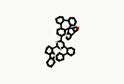 c1ccc(-c2ccccc2-c2cc(-c3ccc4c(c3)C3(c5ccccc5-c5ccccc5-4)c4ccccc4-c4ccccc43)nc(-c3cccc4c3oc3ccccc34)n2)cc1